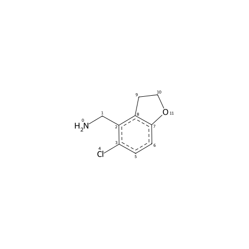 NCc1c(Cl)ccc2c1CCO2